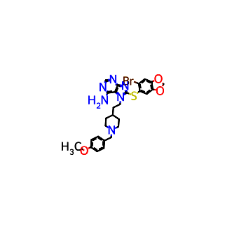 COc1ccc(CN2CCC(CCn3c(Sc4cc5c(cc4Br)OCO5)nc4ncnc(N)c43)CC2)cc1